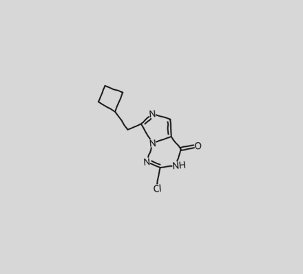 O=c1[nH]c(Cl)nn2c(CC3CCC3)ncc12